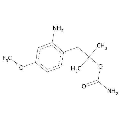 CC(C)(Cc1ccc(OC(F)(F)F)cc1N)OC(N)=O